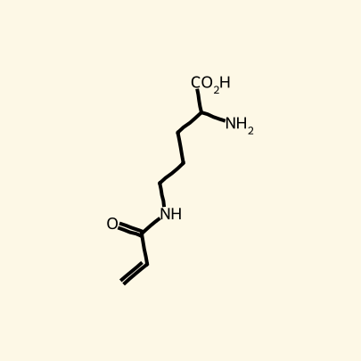 C=CC(=O)NCCCC(N)C(=O)O